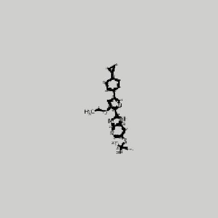 CCSc1cc(-c2ccc(C3CC3)cc2)cnc1-c1nc2ncc(SC(F)(F)F)cc2[nH]1